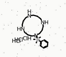 Cl.Cl.Cl.[CH3][Ti]([CH3])([CH3])([c]1ccccc1)[N]1CCCNCCCNCCCNCCC1